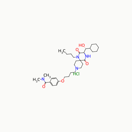 CCCCN1C(=O)[C@@H]([C@H](O)C2CCCCC2)NC(=O)C12CCN(CCCCOc1ccc(C(=O)N(C)C)cc1)CC2.Cl